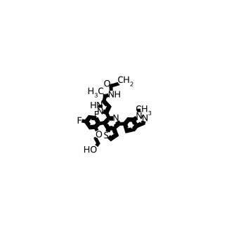 C=CC(=O)N[C@@H](C)c1cc(-c2nc(-c3ccc4cnn(C)c4c3)c3ccsc3c2-c2c(F)cc(F)cc2OCCO)n[nH]1